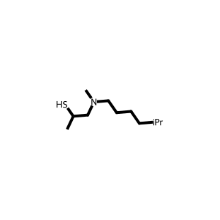 CC(C)CCCCN(C)CC(C)S